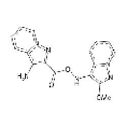 COc1nn2ccccc2c1NOC(=O)c1nn2ccccc2c1N